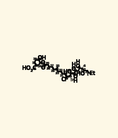 CC/C=C/[C@@H](O)[C@@H](C)[C@H](O)C[C@@H](O)[C@@H](O)[C@H](O)[C@H](C)/C(Cl)=C/C=C/C=C(C)/C=C/C=C/C(=O)O[C@@H]1CC(C(=O)O)=CC[C@@H]1O